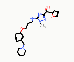 Cn1nc(C(O)c2ccco2)nc1NCCCOc1cccc(CN2CCCCC2)c1